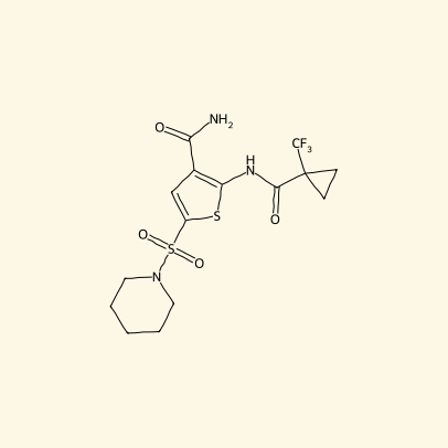 NC(=O)c1cc(S(=O)(=O)N2CCCCC2)sc1NC(=O)C1(C(F)(F)F)CC1